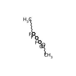 C/C=C/CCC1COC(c2ccc(-c3ccc(-c4ccc(CCCCCCCCC)c(F)c4F)cc3)c(F)c2)OC1